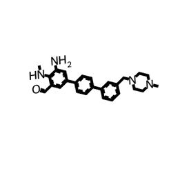 CNc1c(N)cc(-c2ccc(-c3cccc(CN4CCN(C)CC4)c3)cc2)cc1C=O